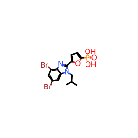 CC(C)Cn1c(-c2ccc(P(=O)(O)O)o2)nc2c(Br)cc(Br)cc21